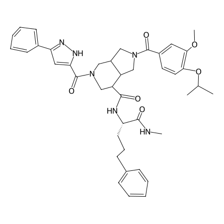 CNC(=O)[C@H](CCCc1ccccc1)NC(=O)C1CN(C(=O)c2cc(-c3ccccc3)n[nH]2)CC2CN(C(=O)c3ccc(OC(C)C)c(OC)c3)CC21